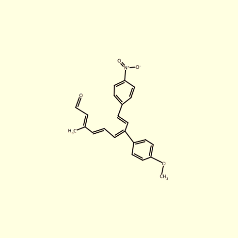 COc1ccc(C(C=Cc2ccc([N+](=O)[O-])cc2)=CC=CC(C)=CC=O)cc1